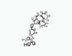 CCOC(Cc1ccc(OCC(C)=C2C=CC3=C(CCC=C3)c3ccccc32)cc1)C(=O)O